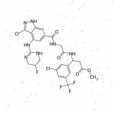 COC(=O)CC(NC(=O)CNC(=O)c1cc(NC2=NCC(F)CN2)c2c(Cl)n[nH]c2c1)c1cc(Cl)cc(C(F)(F)F)c1